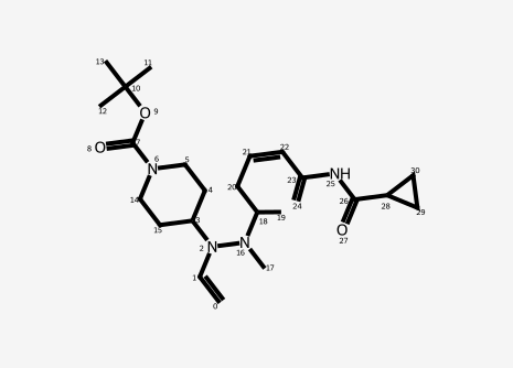 C=CN(C1CCN(C(=O)OC(C)(C)C)CC1)N(C)C(C)C/C=C\C(=C)NC(=O)C1CC1